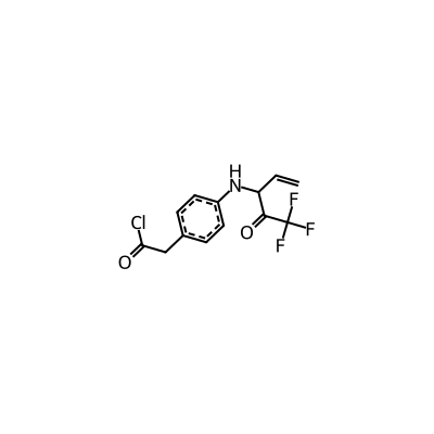 C=CC(Nc1ccc(CC(=O)Cl)cc1)C(=O)C(F)(F)F